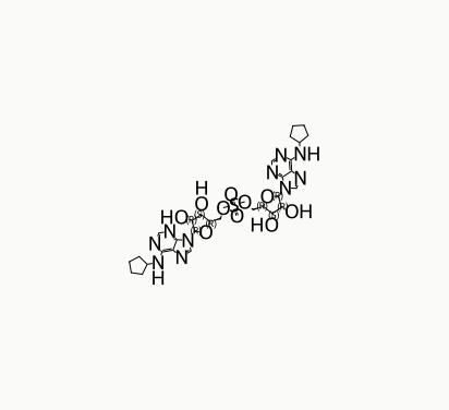 O=S(=O)(OC[C@H]1O[C@@H](n2cnc3c(NC4CCCC4)ncnc32)[C@H](O)[C@@H]1O)OC[C@H]1O[C@@H](n2cnc3c(NC4CCCC4)ncnc32)[C@H](O)[C@@H]1O